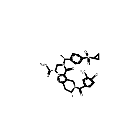 CNC(=O)[C@@H]1CN([C@@H](C)c2ccc(S(=O)(=O)C3CC3)cc2)C(=O)c2c3c(nn21)C[C@@H](C)N(C(=O)c1ccc(Cl)c(C(F)(F)F)c1)C3